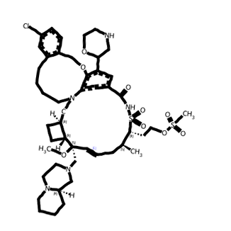 CO[C@]1(CN2CCN3CCCC[C@@H]3C2)/C=C/C[C@H](C)[C@@H](CCOS(C)(=O)=O)S(=O)(=O)NC(=O)c2cc(C3CNCCO3)c3c(c2)N(CCCCc2cc(Cl)ccc2CO3)C[C@@H]2CC[C@H]21